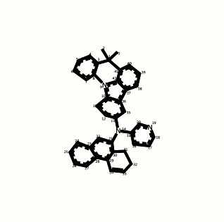 CC1(C)c2ccccc2-n2c3ccc(N(c4cccnc4)c4cc5ccccc5c5c4CCC=C5)cc3c3cccc1c32